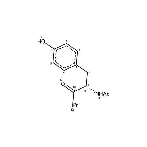 CC(=O)N[C@@H](Cc1ccc(O)cc1)C(=O)C(C)C